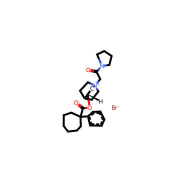 O=C(C[N+]12CCC(CC1)[C@@H](OC(=O)C1(c3ccccc3)CCCCCC1)C2)N1CCCC1.[Br-]